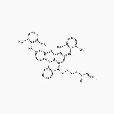 C=CC(=O)OCCOC(=O)c1ccccc1-c1c2cc/c(=N/c3c(C)cccc3C)cc-2oc2cc(Nc3c(C)cccc3C)ccc12